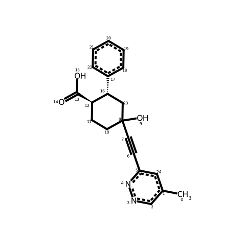 Cc1cnnc(C#CC2(O)CC[C@@H](C(=O)O)[C@H](c3ccccc3)C2)c1